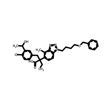 CCC(Cc1ccc(Cl)c(C(C)O)c1)(C(=O)O)c1ccc2c(nnn2CCCCOCc2ccccc2)c1C